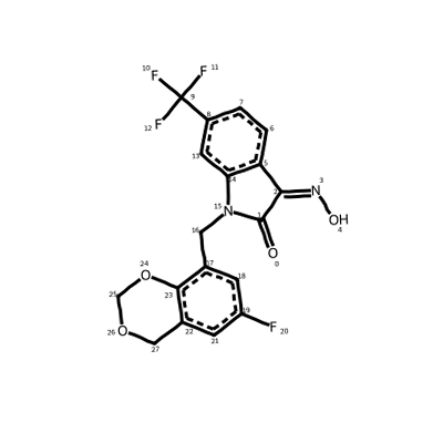 O=C1/C(=N\O)c2ccc(C(F)(F)F)cc2N1Cc1cc(F)cc2c1OCOC2